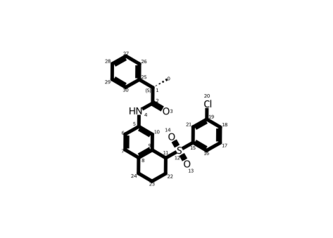 C[C@H](C(=O)Nc1ccc2c(c1)C(S(=O)(=O)c1cccc(Cl)c1)CCC2)c1ccccc1